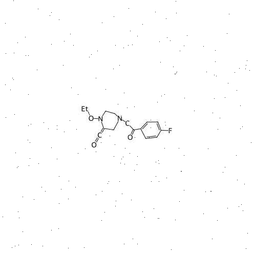 CCON1CCN(CC(=O)c2ccc(F)cc2)CC1=C=O